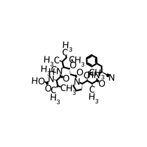 CC[C@H](C)[C@@H]([C@@H](CC(=O)N1CCC[C@H]1[C@H](OC)[C@@H](C)C(=O)N[C@H](C#N)Cc1ccccc1)OC)N(C)C(=O)[C@@H](NC(=O)O)C(C)C